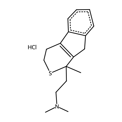 CN(C)CCC1(C)SCCC2=C1Cc1ccccc12.Cl